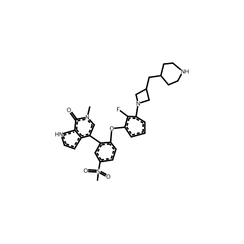 Cn1cc(-c2cc(S(C)(=O)=O)ccc2Oc2cccc(N3CC(CC4CCNCC4)C3)c2F)c2cc[nH]c2c1=O